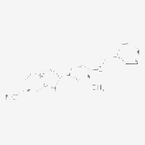 Cc1cc(-c2cn3ccc(C(F)(F)F)cc3n2)ccc1OCc1ccccc1